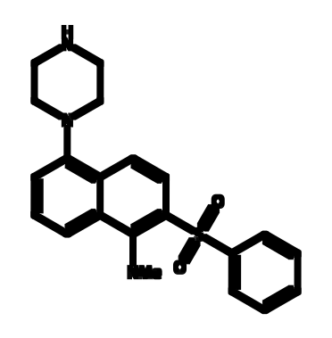 CNc1c(S(=O)(=O)c2ccccc2)ccc2c(N3CCNCC3)cccc12